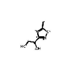 Cc1nc(C(O)CO)ns1